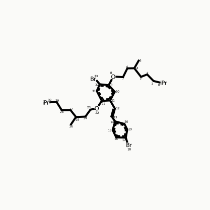 CC(C)CCCC(C)CCOc1cc(/C=C/c2ccc(Br)cc2)c(OCCC(C)CCCC(C)C)cc1Br